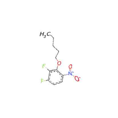 CCCCCOc1c([N+](=O)[O-])ccc(F)c1F